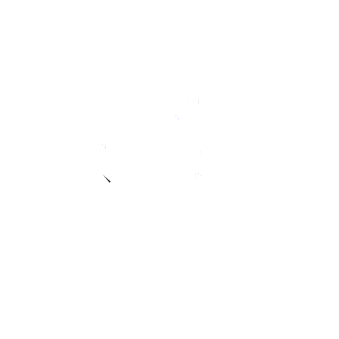 C[C@H](NS(=O)(=O)c1cc(C(=O)Nc2cc(F)c(F)c(Cl)c2)n(C)c1)C(F)(F)F